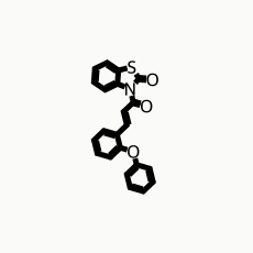 O=C(/C=C/c1ccccc1Oc1ccccc1)n1c(=O)sc2ccccc21